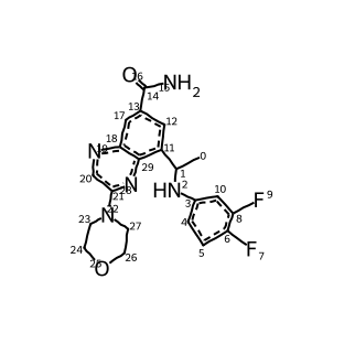 CC(Nc1ccc(F)c(F)c1)c1cc(C(N)=O)cc2ncc(N3CCOCC3)nc12